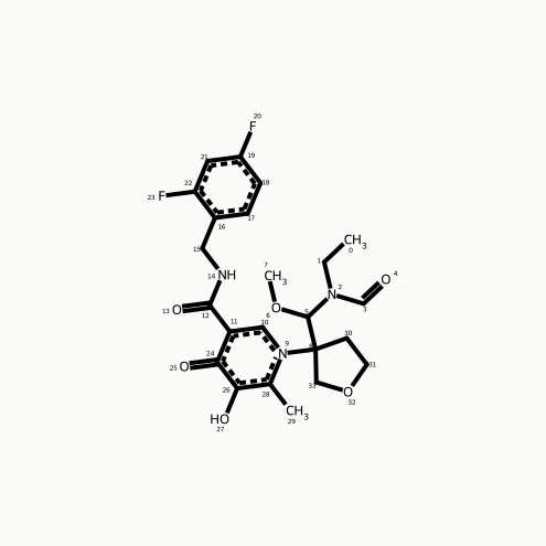 CCN(C=O)C(OC)C1(n2cc(C(=O)NCc3ccc(F)cc3F)c(=O)c(O)c2C)CCOC1